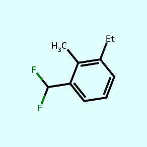 CCc1cccc(C(F)F)c1C